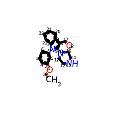 CCOc1cccc(-n2c(N3CCNCC3)c(C=O)c3ccccc32)c1